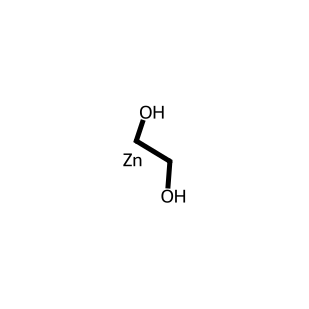 OCCO.[Zn]